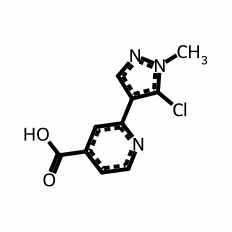 Cn1ncc(-c2cc(C(=O)O)ccn2)c1Cl